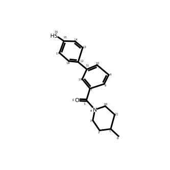 CC1CCN(C(=O)c2cccc(-c3ccc(S)cc3)c2)CC1